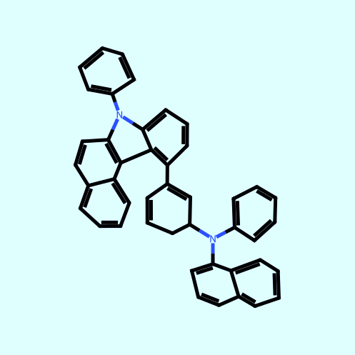 C1=CC(c2cccc3c2c2c4ccccc4ccc2n3-c2ccccc2)=CC(N(c2ccccc2)c2cccc3ccccc23)C1